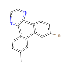 Cc1ccc2c(c1)c1cc(Br)ccc1c1nccnc21